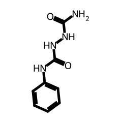 NC(=O)NNC(=O)Nc1ccccc1